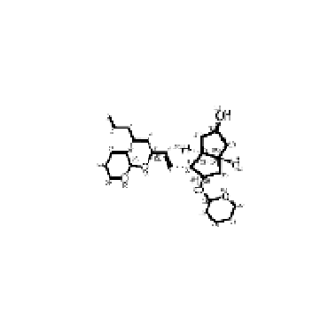 CCCCC[C@@H](C=C[C@@H]1[C@H]2CC(O)C[C@@H]2C[C@H]1OC1CCCCO1)OC1CCCCO1